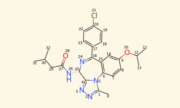 Cc1nnc2n1-c1ccc(OC(C)C)cc1C(c1ccc(Cl)cc1)=N[C@H]2NC(=O)CC(C)C